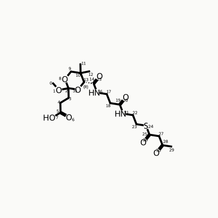 COC1(CCC(=O)O)OCC(C)(C)[C@H](C(=O)NCCC(=O)NCCSC(=O)CC(C)=O)O1